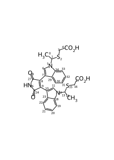 CC(SCC(=O)O)n1cc(C2=C(c3cn(C(C)SCC(=O)O)c4ccccc34)C(=O)NC2=O)c2ccccc21